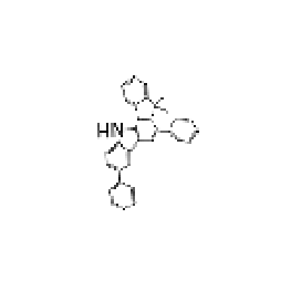 CC1(C)c2ccccc2-c2c1c(-c1ccccc1)cc1c2[nH]c2ccc(-c3ccccc3)cc21